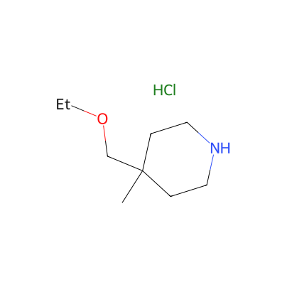 CCOCC1(C)CCNCC1.Cl